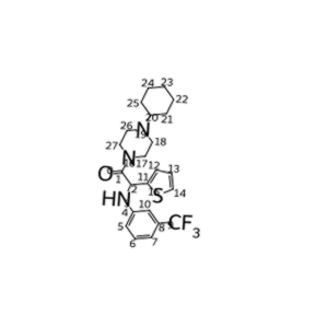 O=C(C(Nc1cccc(C(F)(F)F)c1)c1cccs1)N1CCN(C2CCCCC2)CC1